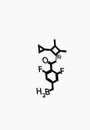 BCc1cc(F)c(C(=O)C[C@H]2C(C)C(C)C2C2CC2)c(F)c1